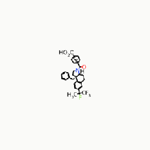 CC(F)(c1ccc2c(c1)CC[C@H]1N(C(=O)C34CCC(C(=O)O)(CC3)CC4)CC[C@@]21Cc1ccccc1)C(F)(F)F